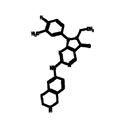 CCn1c(=O)c2cnc(Nc3ccc4c(c3)CCNC4)nc2n1-c1ccc(F)c(C)c1